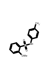 [CH2]c1ccc(NS(=O)(=O)c2ccccc2OC)cc1